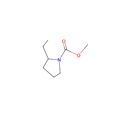 CCC1CCCN1C(=O)OC